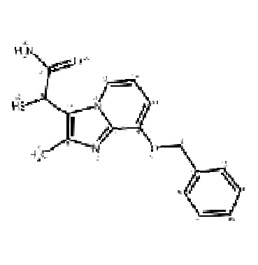 Cc1nc2c(OCc3ccccc3)cccn2c1C(S)C(N)=O